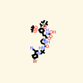 CC(C)[Si](Oc1cc(CC(NC(=O)O)C(=O)N2CCC[C@@H](C(=O)NCC(C)(C)Cn3cc(C#N)c4ccc(Br)cc43)N2)cc(B2OC(C)(C)C(C)(C)O2)c1)(C(C)C)C(C)C